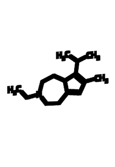 CCN1CCC2=CC(C)=C(C(C)C)C2CC1